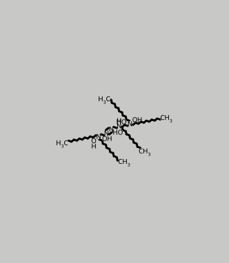 CCCCCCCCCCC(O)CN(CCC(NCCN1CCN(CCN(CC(O)CCCCCCCCCC)CC(O)CCCCCCCCCC)CC1)C(O)CCCCCCCCCC)CC(O)CCCCCCCCCC